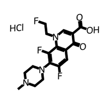 CN1CCN(c2c(F)cc3c(=O)c(C(=O)O)cn(CCF)c3c2F)CC1.Cl